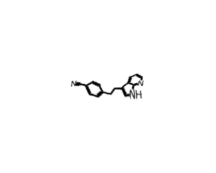 N#Cc1ccc(CCc2c[nH]c3ncccc23)cc1